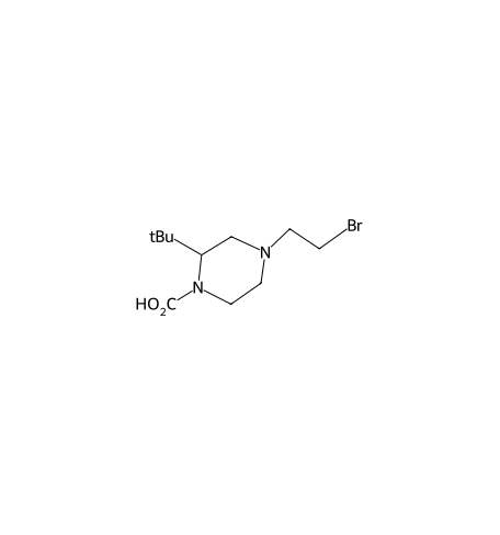 CC(C)(C)C1CN(CCBr)CCN1C(=O)O